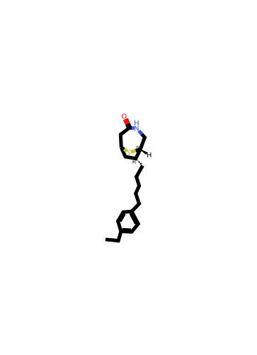 CCc1ccc(CCCCC[C@@H]2CC3CC(=O)NC[C@H]2S3)cc1